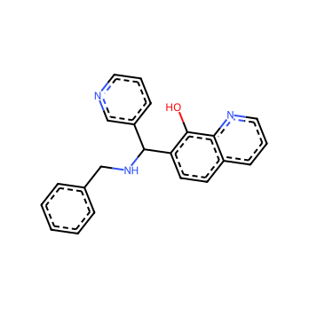 Oc1c(C(NCc2ccccc2)c2cccnc2)ccc2cccnc12